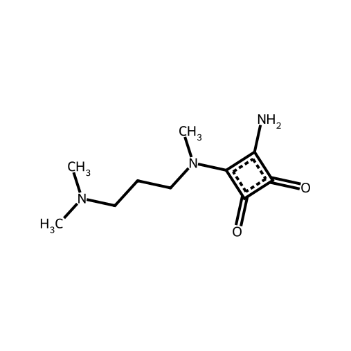 CN(C)CCCN(C)c1c(N)c(=O)c1=O